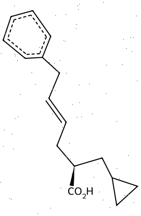 O=C(O)[C@@H](CC=CCc1ccccc1)CC1CC1